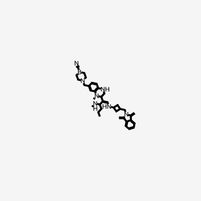 C=c1c2ccccc2c(=C)n1CC1CC(N/C=C(\C(CCC)NC)C2CNc3ccc(CN4CCB(C#N)CC4)cc3N2C)C1